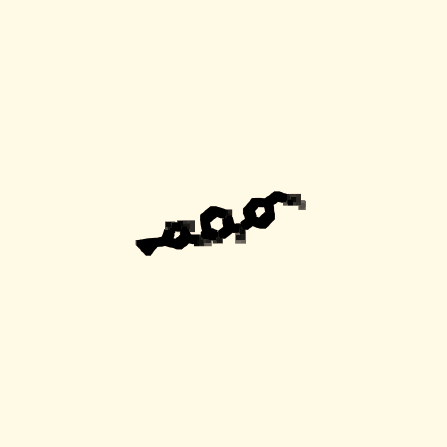 NCC1C=CC(Nc2nccc(Nc3cc(C4CC4)n[nH]3)n2)=CC1